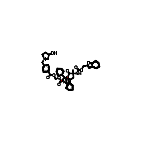 CC(NC(=O)C(C)(Cc1cn(C(=O)OCOC(=O)c2ccc(CN3CCC(O)C3)cc2)c2ccccc12)NC(=O)OCc1cc2ccccc2o1)c1ccccc1